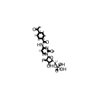 CC(=O)c1ccc(C(=O)Nc2ccn([C@@H]3O[C@H](COP(=O)(O)O)C(O)C3F)c(=O)n2)cc1